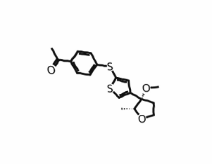 CO[C@]1(c2csc(Sc3ccc(C(C)=O)cc3)c2)CCO[C@@H]1C